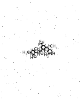 CCN(c1cc(C(F)(F)F)cc(C(=O)NCc2c(C)cc(C)[nH]c2=O)c1C)C1CCNCC1